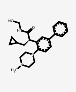 CN1CCN(c2ccc(-c3ccccc3)cc2[C@@H](CC2CC2)C(=O)NCC#N)CC1